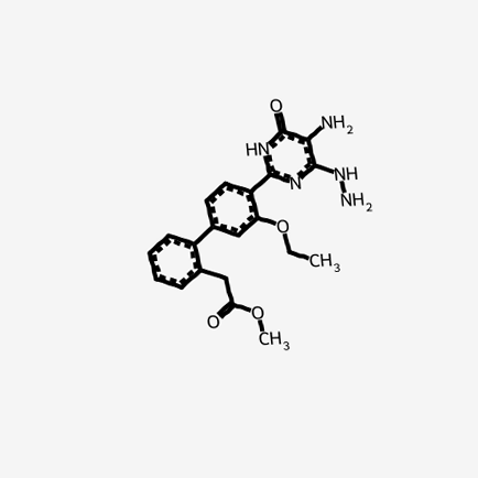 CCOc1cc(-c2ccccc2CC(=O)OC)ccc1-c1nc(NN)c(N)c(=O)[nH]1